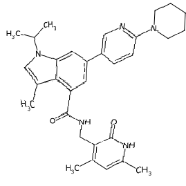 Cc1cc(C)c(CNC(=O)c2cc(-c3ccc(N4CCCCC4)nc3)cc3c2c(C)cn3C(C)C)c(=O)[nH]1